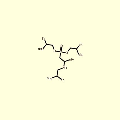 CCCCC(CC)CNC(CCC)CP(=O)(OCC(CC)CCCC)OCC(CC)CCCC